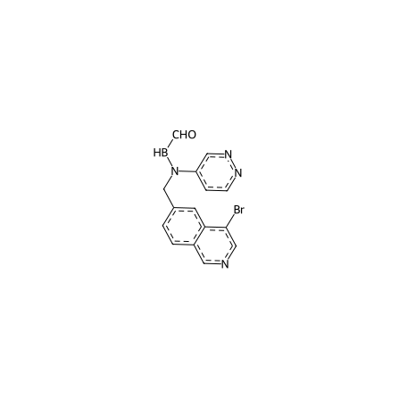 O=CBN(Cc1ccc2cncc(Br)c2c1)c1ccnnc1